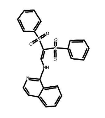 O=S(=O)(C(=CNc1nccc2ccccc12)S(=O)(=O)c1ccccc1)c1ccccc1